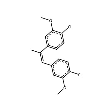 COc1cc(C=C(C)c2ccc(Cl)c(OC)c2)ccc1Cl